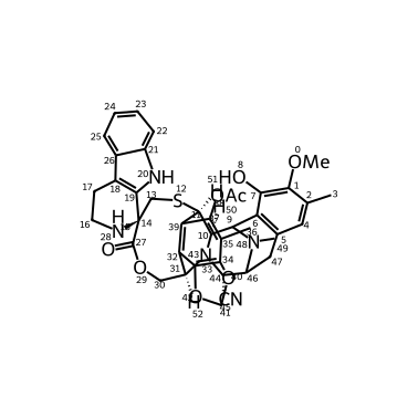 COc1c(C)cc2c(c1O)C1[C@@H]3[C@@H]4SC[C@]5(NCCc6c5[nH]c5ccccc65)C(=O)OC[C@@H](c5c6c(c(C)c(OC(C)=O)c54)OCO6)N3[C@@H](C#N)C(C2)N1C